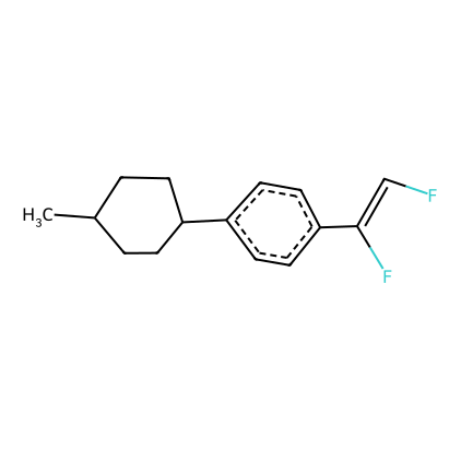 CC1CCC(c2ccc(/C(F)=C/F)cc2)CC1